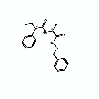 CC[C@@H](C(=O)N[C@@H](C)C(=O)NOCc1ccccc1)c1ccccc1